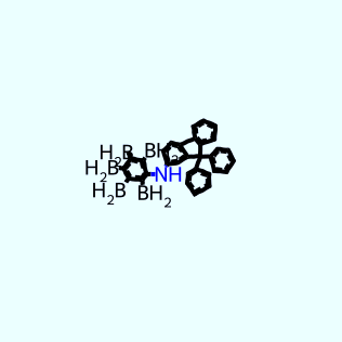 Bc1c(B)c(B)c(Nc2ccc3c(c2)C(c2ccccc2)(c2ccccc2)c2ccccc2-3)c(B)c1B